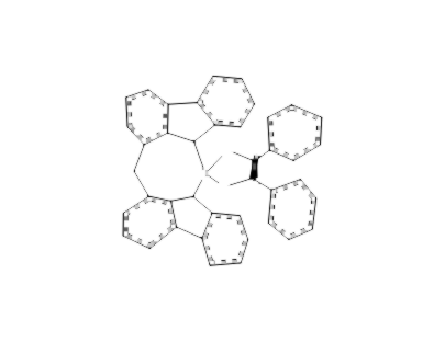 O=C([O][Ti]1([O]C(=O)c2ccccc2)[CH]2c3ccccc3-c3cccc(c32)Cc2cccc3c2[CH]1c1ccccc1-3)c1ccccc1